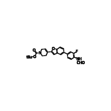 CC(C)(C)OC(=O)N1CC=C(c2cc3cc(-c4ccc(NC=O)c(F)c4)ccc3o2)CC1